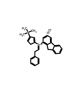 C[Si](C)(C)C1=CC[C]([Zr+2](=[CH]Cc2ccccc2)[c]2cccc3c2Cc2ccccc2-3)=C1.[Cl-].[Cl-]